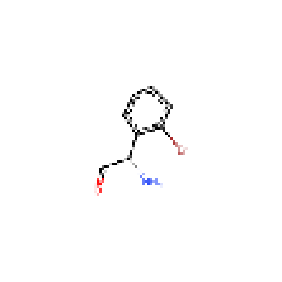 N[C@H](C=O)c1ccccc1Br